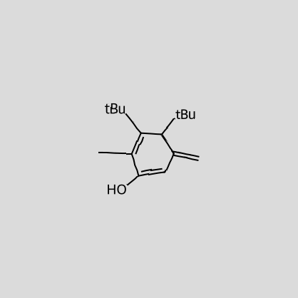 C=C1C=C(O)C(C)=C(C(C)(C)C)C1C(C)(C)C